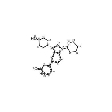 O=c1cc(-c2ccc3c(c2)c([C@H]2CC[C@H](O)CC2)nn3C2CCCCO2)cc[nH]1